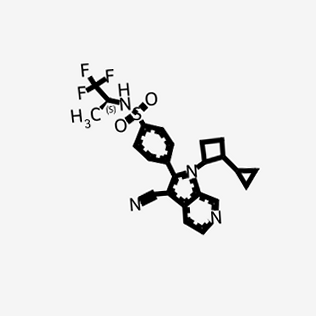 C[C@H](NS(=O)(=O)c1ccc(-c2c(C#N)c3ccncc3n2C2CCC2C2CC2)cc1)C(F)(F)F